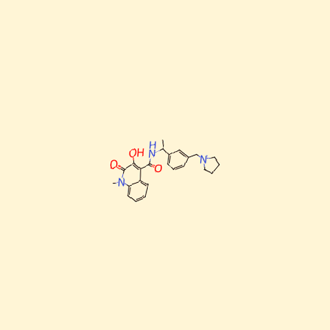 CC(NC(=O)c1c(O)c(=O)n(C)c2ccccc12)c1cccc(CN2CCCC2)c1